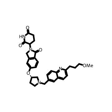 COCCCc1ccc2cc(CN3CC[C@H](Oc4ccc5c(c4)CN(C4CCC(=O)NC4=O)C5=O)C3)ccc2n1